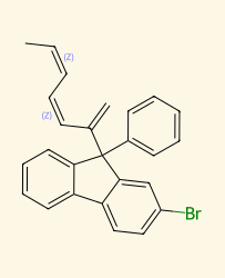 C=C(/C=C\C=C/C)C1(c2ccccc2)c2ccccc2-c2ccc(Br)cc21